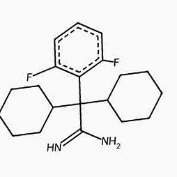 N=C(N)C(c1c(F)cccc1F)(C1CCCCC1)C1CCCCC1